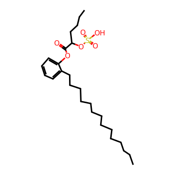 CCCCCCCCCCCCCCc1ccccc1OC(=O)C(CCCC)OS(=O)(=O)O